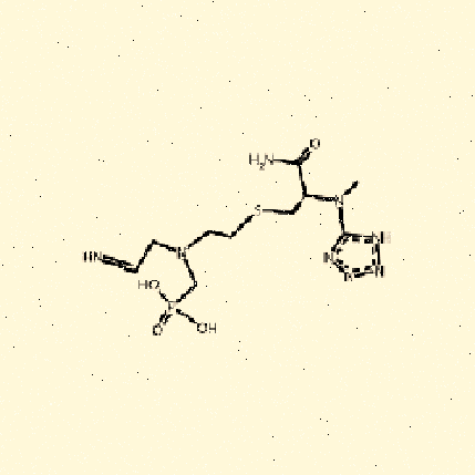 CN(c1nnn[nH]1)[C@@H](CSCCN(CC=N)CP(=O)(O)O)C(N)=O